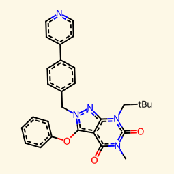 Cn1c(=O)c2c(Oc3ccccc3)n(Cc3ccc(-c4ccncc4)cc3)nc2n(CC(C)(C)C)c1=O